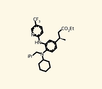 CCOC(=O)C[C@@H](C)c1ccc(N(CC(C)C)C2CCCCC2)c(Nc2ccc(C(F)(F)F)cn2)c1